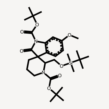 COc1ccc2c(c1)N(C(=O)OC(C)(C)C)C(=O)C21CCCN(C(=O)OC(C)(C)C)C1CO[Si](C)(C)C(C)(C)C